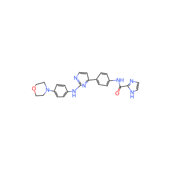 O=C(Nc1ccc(-c2ccnc(Nc3ccc(N4CCOCC4)cc3)n2)cc1)c1ncc[nH]1